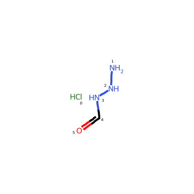 Cl.NNNC=O